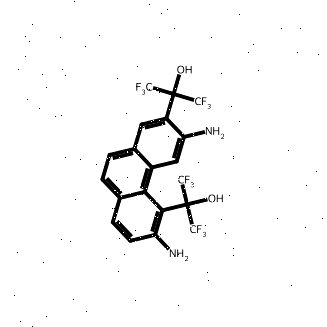 Nc1cc2c(ccc3ccc(N)c(C(O)(C(F)(F)F)C(F)(F)F)c32)cc1C(O)(C(F)(F)F)C(F)(F)F